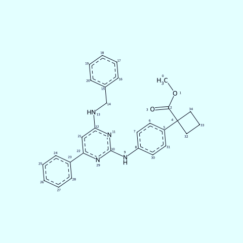 COC(=O)C1(c2ccc(Nc3nc(NCc4ccccc4)cc(-c4ccccc4)n3)cc2)CCC1